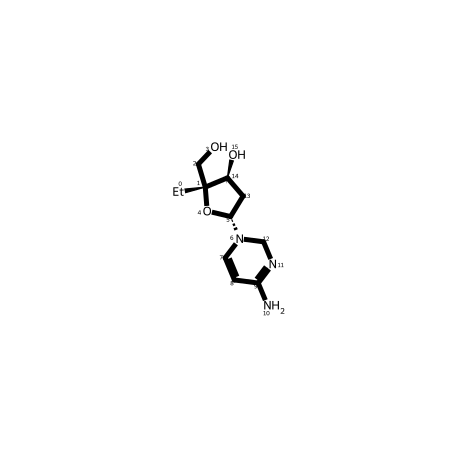 CC[C@]1(CO)O[C@@H](N2C=CC(N)=NC2)C[C@@H]1O